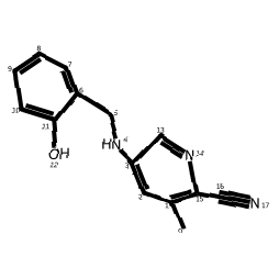 Cc1cc(NCc2ccccc2O)cnc1C#N